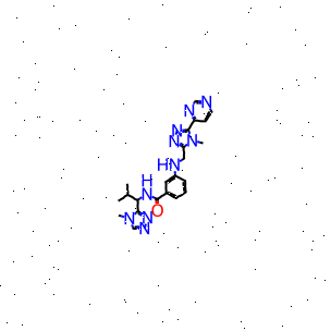 CC(C)C(NC(=O)c1cccc(NCc2nnc(-c3ccncn3)n2C)c1)c1nncn1C